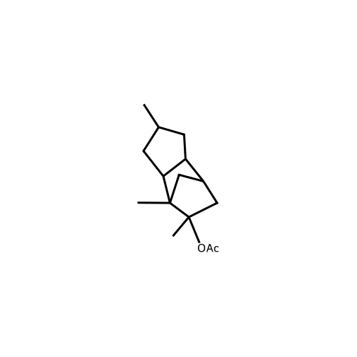 CC(=O)OC1(C)CC2CC1(C)C1CC(C)CC21